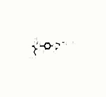 CC(=O)NC[C@H]1CN(c2ccc(C3=NNC(=O)C(CCO)S3)c(F)c2)C(=O)O1